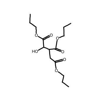 CCCOC(=O)CC(C(=O)OCCC)C(O)C(=O)OCCC